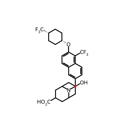 O=C(O)C1CC2CC(O)CC(C1)N2Cc1ccc2c(C(F)(F)F)c(O[C@H]3CC[C@@H](C(F)(F)F)CC3)ccc2c1